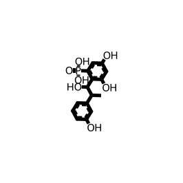 CC(c1cccc(O)c1)C(O)c1c(O)cc(O)cc1P(=O)(O)O